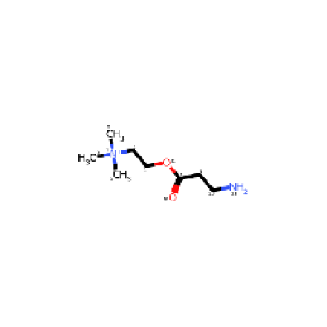 C[N+](C)(C)CCOC(=O)CCN